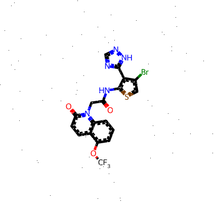 O=C(Cn1c(=O)ccc2c(OC(F)(F)F)cccc21)Nc1scc(Br)c1-c1ncn[nH]1